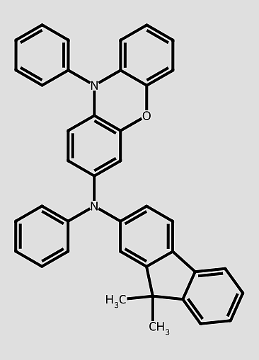 CC1(C)c2ccccc2-c2ccc(N(c3ccccc3)c3ccc4c(c3)Oc3ccccc3N4c3ccccc3)cc21